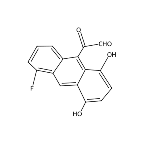 O=CC(=O)c1c2cccc(F)c2cc2c(O)ccc(O)c12